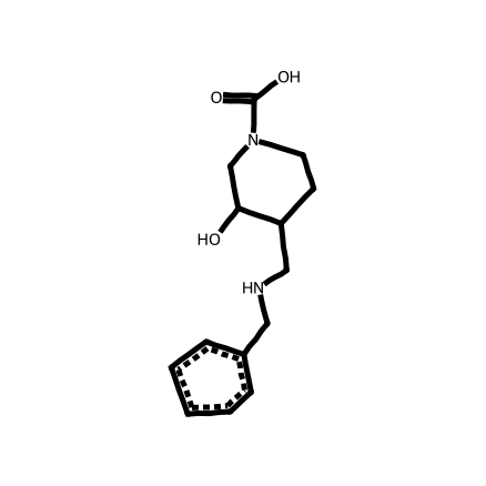 O=C(O)N1CCC(CNCc2ccccc2)C(O)C1